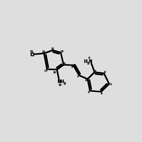 Nc1ccccc1C=Cc1ccc(Cl)cc1N